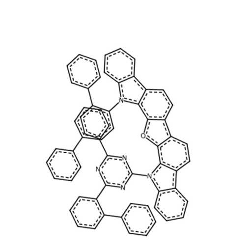 c1ccc(-c2ccccc2-c2nc(-c3ccccc3-c3ccccc3)nc(-n3c4ccccc4c4ccc5c6ccc7c8ccccc8n(-c8ccccc8-c8ccccc8)c7c6oc5c43)n2)cc1